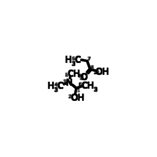 CC(O)N(C)C.CCC(=O)O